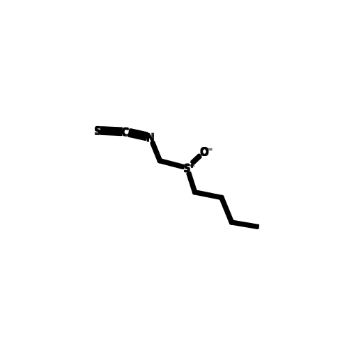 CCCC[S+]([O-])CN=C=S